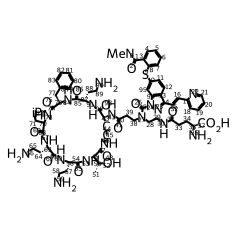 CNC(=O)c1ccccc1Sc1ccc2c(/C=C/c3ccccn3)nn(C(=O)N(CCNC(=O)CC[C@H](N)C(=O)O)CCC(=O)N[C@H]3CCNC(=O)[C@H]([C@@H](C)O)NC(=O)[C@H](CCN)NC(=O)[C@H](CCN)NC(=O)C(CC(C)C)NC(=O)[C@@H](Cc4ccccc4)NC(=O)[C@H](CCN)NC3=O)c2c1